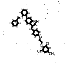 Cc1cc(Cl)c(OCCOc2ccc(CC3CNc4cc(-c5ccccc5OCc5ccccc5)ccc43)cc2)c(Cl)c1